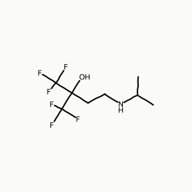 CC(C)NCCC(O)(C(F)(F)F)C(F)(F)F